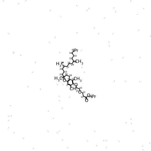 Cc1cc2c(c(C)c1OCCOCCC(=O)OC(C)C)CCC(C)(CCCC(C)CCCC(C)CCCC(C)C)O2